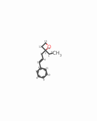 CCC1(CC=Cc2ccccc2)CCO1